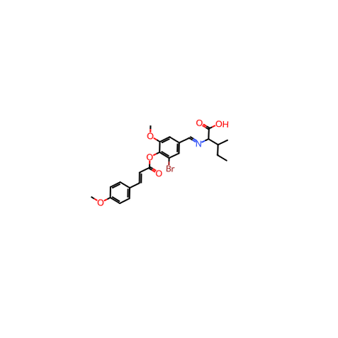 CCC(C)C(/N=C/c1cc(Br)c(OC(=O)/C=C/c2ccc(OC)cc2)c(OC)c1)C(=O)O